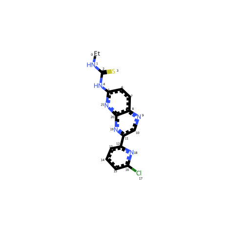 CCNC(=S)Nc1ccc2ncc(-c3cccc(Cl)n3)nc2n1